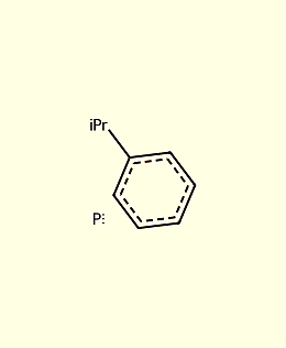 CC(C)c1ccccc1.[P]